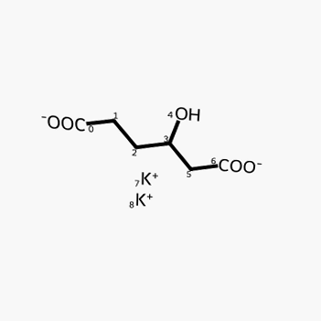 O=C([O-])CCC(O)CC(=O)[O-].[K+].[K+]